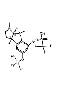 CC(C)[Si](Oc1cc(Br)c2c(c1)[C@]1(C)CCN(C)[C@@H]1N2C)(C(C)C)C(C)C.O=S(=O)(O)C(F)(F)F